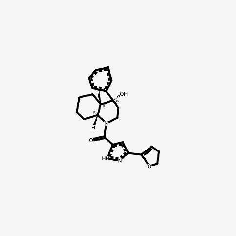 O=C(c1cc(C2=CCCO2)n[nH]1)N1CC[C@](O)(c2ccccc2)[C@H]2CCCC[C@H]21